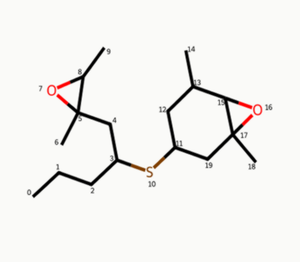 CCCC(CC1(C)OC1C)SC1CC(C)C2OC2(C)C1